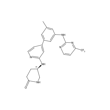 Cc1cc(Nc2nccc(C(F)(F)F)n2)cc(-c2ccnc(N[C@@H]3CCC(=O)NC3)c2)c1